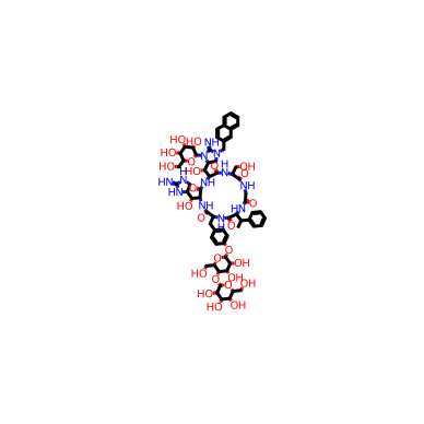 CC(c1ccccc1)C1NC(=O)CNC(=O)C(CO)NC(=O)C(C(O)C2CN(Cc3ccc4ccccc4c3)C(=N)N2C2OC(CO)C(O)C(O)C2O)NC(=O)C(C(O)C2CNC(=N)N2)NC(=O)C(Cc2ccc(OC3OC(CO)C(OC4OC(CO)C(O)C(O)C4O)C(O)C3O)cc2)NC1=O